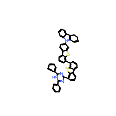 C1=Cc2c(c3ccccc3n2-c2ccc3c(c2)sc2c(-c4cccc5c4sc4c(C6=NC(c7ccccc7)NC(c7ccccc7)=N6)cccc45)cccc23)CC1